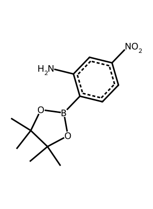 CC1(C)OB(c2ccc([N+](=O)[O-])cc2N)OC1(C)C